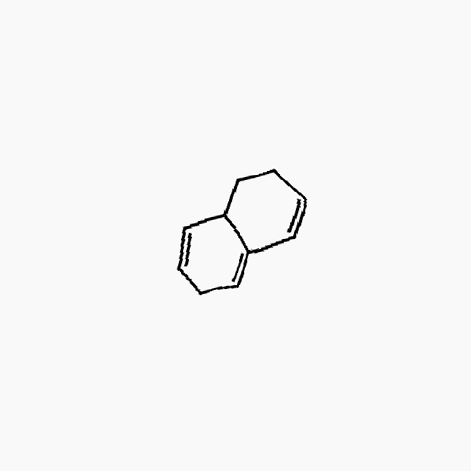 C1=CC2CCC=CC2=CC1